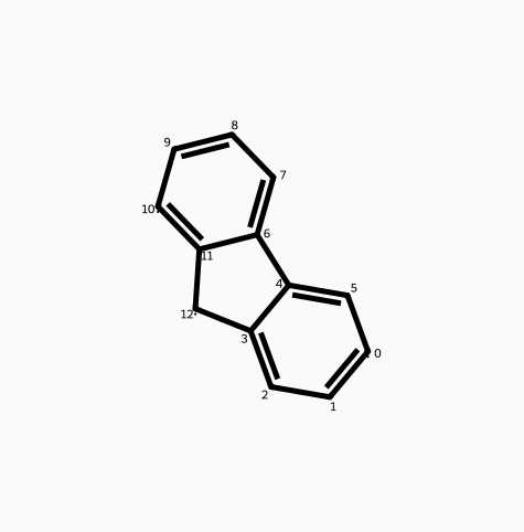 [c]1ccc2c(c1)-c1ccc[c]c1[CH]2